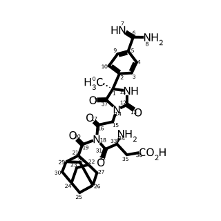 C[C@]1(c2ccc(C(=N)N)cc2)NC(=O)N(CC(=O)N(C(=O)C2C3CC4CC(C3)CC2C4)C(=O)[C@@H](N)CC(=O)O)C1=O